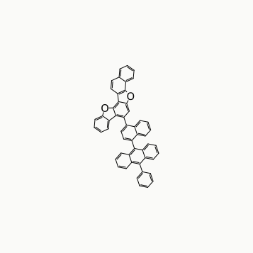 c1ccc(-c2c3ccccc3c(-c3ccc(-c4cc5oc6c7ccccc7ccc6c5c5oc6ccccc6c45)c4ccccc34)c3ccccc23)cc1